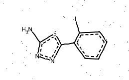 Nc1nnc(-c2ccccc2I)s1